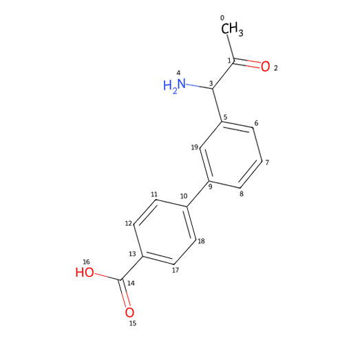 CC(=O)C(N)c1cccc(-c2ccc(C(=O)O)cc2)c1